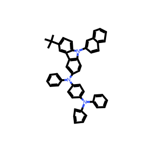 CC(C)(C)c1ccc2c(c1)c1cc(N(c3ccccc3)c3ccc(N(c4ccccc4)c4ccccc4)cc3)ccc1n2-c1ccc2ccccc2c1